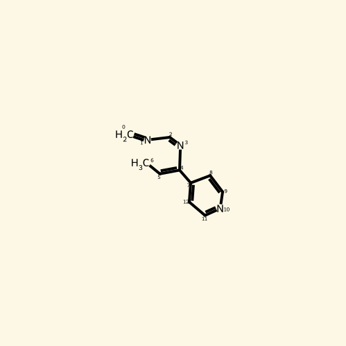 C=N/C=N\C(=C/C)c1ccncc1